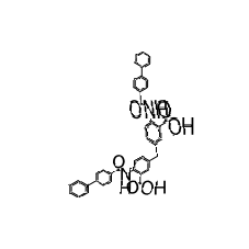 O=C(Nc1ccc(Cc2ccc(NC(=O)c3ccc(-c4ccccc4)cc3)c(C(=O)O)c2)cc1C(=O)O)c1ccc(-c2ccccc2)cc1